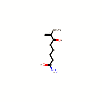 C=C(CCCCCC)C(=O)CCCCC(N)=O